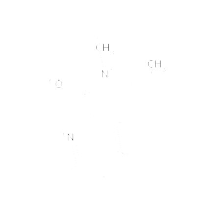 CCN(C)C(=O)c1ccccn1